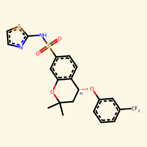 CC1(C)C[C@@H](Oc2cccc(C(F)(F)F)c2)c2ccc(S(=O)(=O)Nc3nccs3)cc2O1